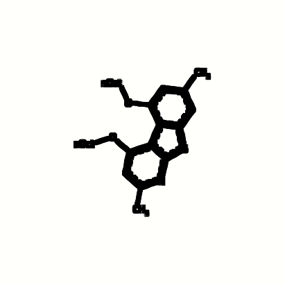 CCCCCCCCOc1cc(C)cc2sc3nc(C)cc(OCCCCCCCC)c3c12